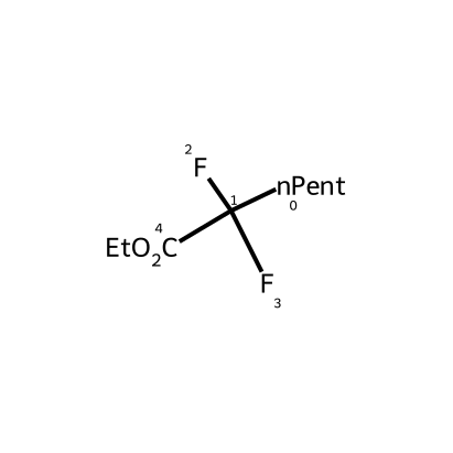 CCCCCC(F)(F)C(=O)OCC